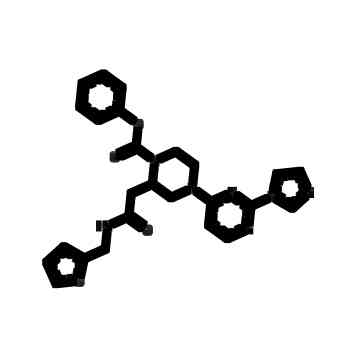 O=C(CC1CN(c2ccnc(-n3ccnc3)n2)CCN1C(=O)Oc1ccccc1)NCc1ccco1